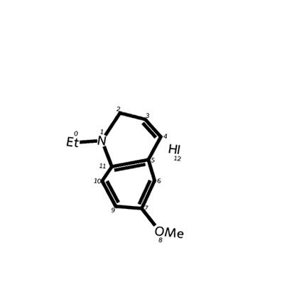 CCN1CC=Cc2cc(OC)ccc21.I